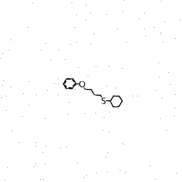 c1ccc(OCCCCSC2CCCCC2)cc1